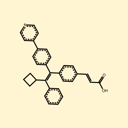 O=C(O)C=Cc1ccc(C(=C(c2ccccc2)C2CCC2)c2ccc(-c3ccncc3)cc2)cc1